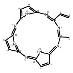 C=Cc1nc(C)nc2ccc(nc3nc(nc4ccc(n1)[nH]4)C=C3)[nH]2